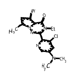 CCn1c(-c2ncc(N(C)C)cc2Cl)nn2c(C)cc(C(C)C)c2c1=O